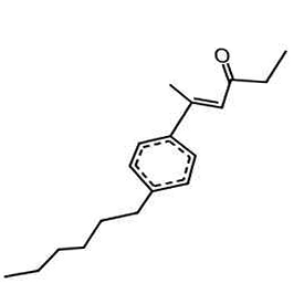 CCCCCCc1ccc(/C(C)=C/C(=O)CC)cc1